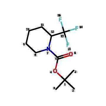 CC(C)(C)OC(=O)N1CCCCC1C(F)(F)F